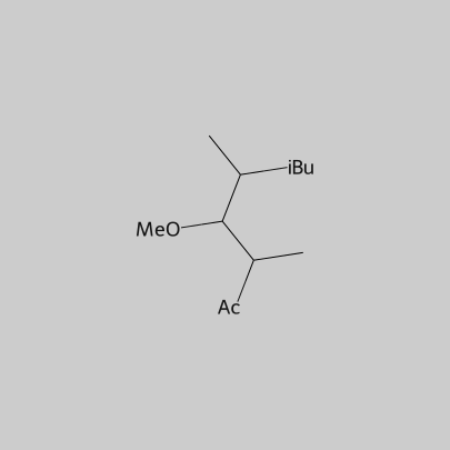 CCC(C)C(C)C(OC)C(C)C(C)=O